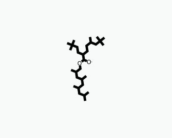 CC(C)CC(C)CC(C)CC(C)COC([O])C(CCC(C)CC(C)(C)C)CCC(C)(C)C